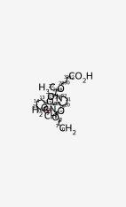 C=CCOC(=O)N(C(=C)C)C(OC1CCCCO1)[C@@H]1CCCCN1C(=O)C(C)OCCCC(=O)O